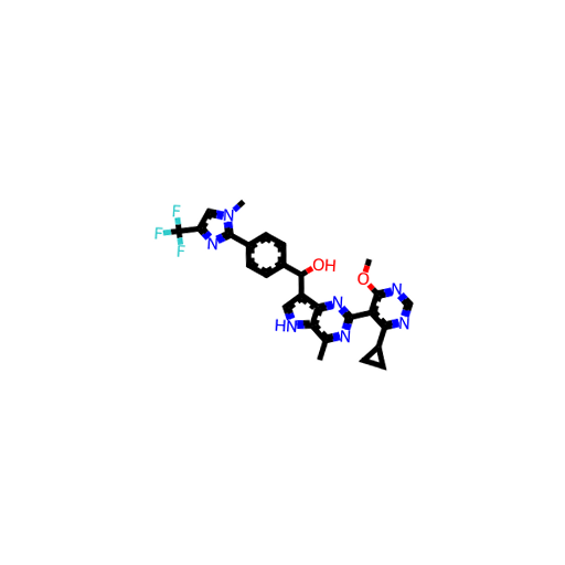 COc1ncnc(C2CC2)c1-c1nc(C)c2[nH]cc(C(O)c3ccc(-c4nc(C(F)(F)F)cn4C)cc3)c2n1